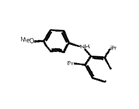 C/C=C(\C(Nc1ccc(OC)cc1)=C(/C)C(C)C)C(C)C